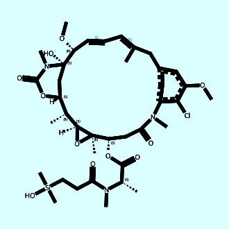 COc1cc2cc(c1Cl)N(C)C(=O)C[C@H](OC(=O)[C@H](C)N(C)C(=O)CC[Si](C)(C)O)[C@@]1(C)O[C@H]1[C@H](C)[C@@H]1C[C@](O)([C@H](OC)/C=C/C=C(\C)C2)N(C)C(=O)O1